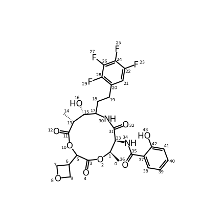 C[C@H]1OC(=O)C(C2COC2)OC(=O)[C@H](C)[C@H](O)C(CCc2cc(F)c(F)c(F)c2F)NC(=O)[C@H]1NC(=O)c1ccccc1O